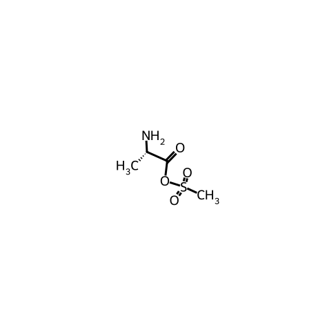 C[C@H](N)C(=O)OS(C)(=O)=O